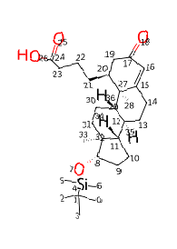 CC(C)(C)[Si](C)(C)O[C@H]1CC[C@H]2[C@@H]3CCC4=CC(=O)C[C@H](CCCC(=O)O)[C@]4(C)[C@H]3CC[C@]12C